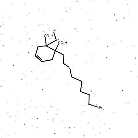 CC(C)CCCCCCCCC1(C(=O)O)CC=CCC1(CC(C)C)C(=O)O